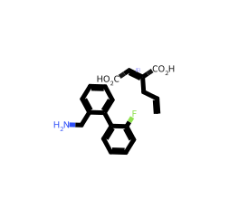 C=CC/C(=C\C(=O)O)C(=O)O.NCc1ccccc1-c1ccccc1F